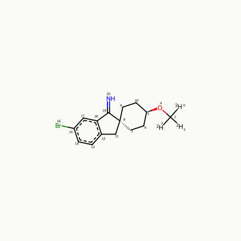 [2H]C([2H])([2H])O[C@H]1CC[C@]2(CC1)Cc1ccc(Br)cc1C2=N